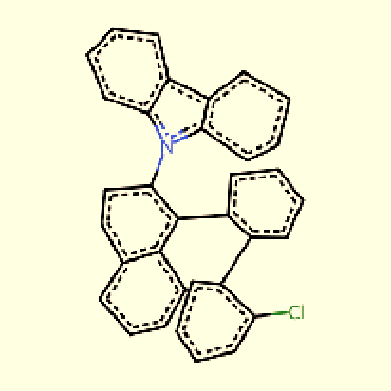 Clc1ccccc1-c1ccccc1-c1c(-n2c3ccccc3c3ccccc32)ccc2ccccc12